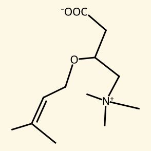 CC(C)=CCOC(CC(=O)[O-])C[N+](C)(C)C